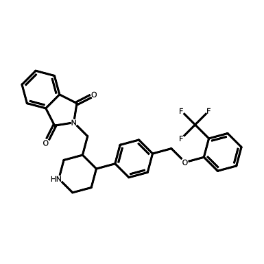 O=C1c2ccccc2C(=O)N1CC1CNCCC1c1ccc(COc2ccccc2C(F)(F)F)cc1